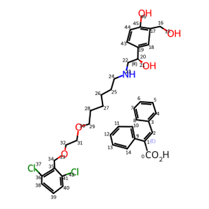 O=C(O)/C(=C/c1ccccc1)c1ccccc1.OCc1cc([C@@H](O)CNCCCCCCOCCOCc2c(Cl)cccc2Cl)ccc1O